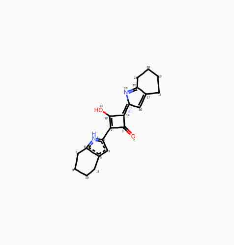 O=C1C(c2cc3c([nH]2)CCCC3)=C(O)/C1=C1/C=C2CCCCC2=N1